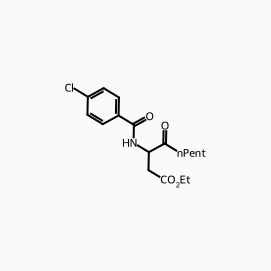 CCCCCC(=O)C(CC(=O)OCC)NC(=O)c1ccc(Cl)cc1